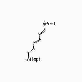 [CH2]CCCCCCCCC=CC=CCCCCC